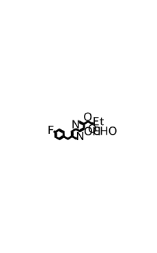 CCC(OC=O)C(=O)c1cnc2cc(Cc3ccc(F)cc3)cnc2c1O